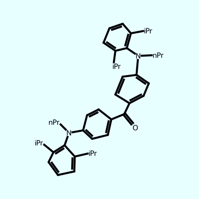 CCCN(c1ccc(C(=O)c2ccc(N(CCC)c3c(C(C)C)cccc3C(C)C)cc2)cc1)c1c(C(C)C)cccc1C(C)C